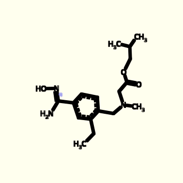 CCc1cc(/C(N)=N/O)ccc1CN(C)CC(=O)OCC(C)C